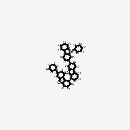 c1ccc(-c2cc(-n3c4ccccc4c4ccc(-c5ccc6c7ccccc7n(-c7ccccc7)c6c5)cc43)c3c(c2)oc2ccccc23)cc1